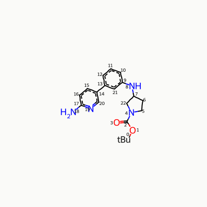 CC(C)(C)OC(=O)N1CCC(Nc2cccc(-c3ccc(N)nc3)c2)C1